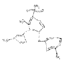 Cc1c(S(N)(=O)=O)ccc(Oc2cccc(C(F)(F)F)c2)c1-c1cn(C)cn1